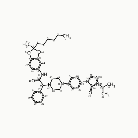 CCCCCCC1(C)Oc2ccc(NC(=O)C(c3ccccc3)N3CCN(c4ccc(-n5cnn(C(C)C)c5=O)cc4)CC3)cc2O1